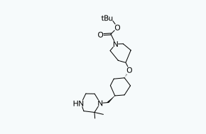 CC(C)(C)OC(=O)N1CCC(O[C@H]2CC[C@H](CN3CCNCC3(C)C)CC2)CC1